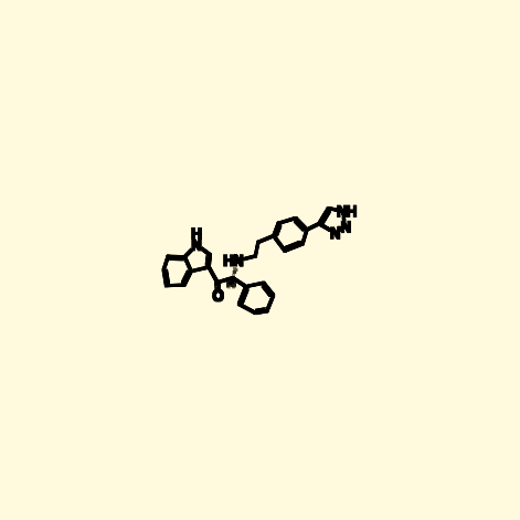 O=C(c1c[nH]c2ccccc12)[C@H](NCCc1ccc(-c2c[nH]nn2)cc1)c1ccccc1